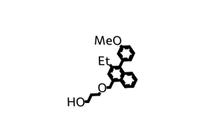 CCc1cc(COCCCO)c2ccccc2c1-c1cccc(OC)c1